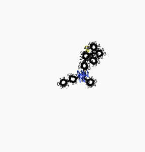 c1ccc(-c2ccc(-c3nc(-c4ccccc4)nc(-c4ccc(-c5ccc6c(c5)C(c5ccccc5)(c5ccccc5)c5ccccc5S6)cc4)n3)cc2)cc1